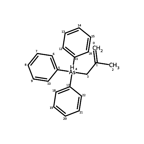 C=C(C)C[AsH](c1ccccc1)(c1ccccc1)c1ccccc1